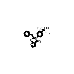 O=c1c2ccsc2nc(Cc2ccccc2)n1-c1ccc(C(O)(C(F)(F)F)C(F)(F)F)cc1